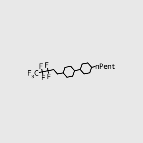 CCCCCC1CCC(C2CCC(CCC(F)(F)C(F)(F)C(F)(F)F)CC2)CC1